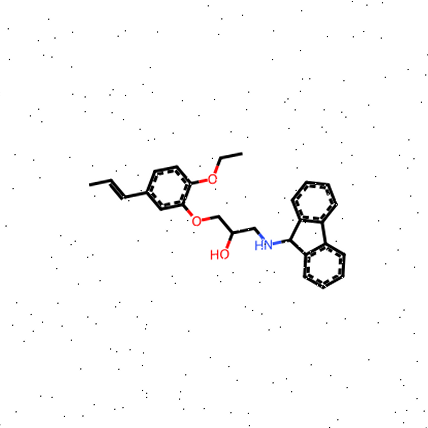 CC=Cc1ccc(OCC)c(OCC(O)CNC2c3ccccc3-c3ccccc32)c1